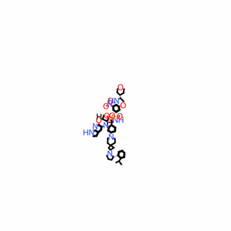 CC(C)c1ccccc1[C@@H]1CCCN1C1CC2(CCN(c3ccc(C(=O)NS(=O)(=O)c4cc5c(c([N+](=O)[O-])c4)N[C@H](C4CCOCC4)CO5)c(N4c5cc6cc[nH]c6nc5O[C@H]5COC[C@H]54)c3)CC2)C1